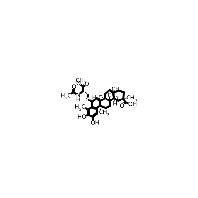 COC(=O)[C@H](CSC1C=C2[C@@](C)(CC[C@@]3(C)[C@@H]4C[C@](C)(C(=O)O)CC[C@]4(C)CC[C@]23C)c2cc(O)c(O)c(C)c21)NC(C)=O